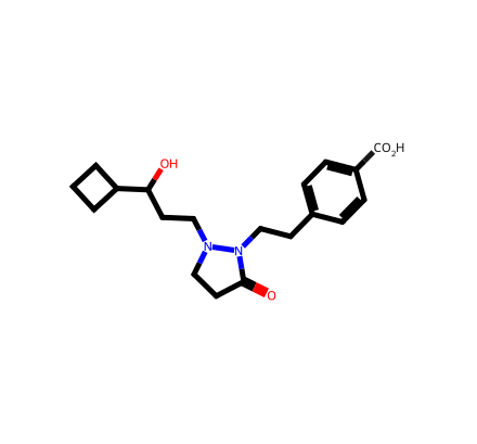 O=C(O)c1ccc(CCN2C(=O)CCN2CCC(O)C2CCC2)cc1